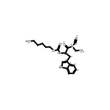 CCCCCCOC(=O)NC(Cc1c[nH]c2ccccc12)C(=O)N(C#N)CC